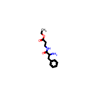 CCOC(=O)CCNC(=O)C(N)Cc1ccccc1